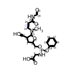 C#CC1CC(COP(NCC(=O)O)Oc2ccccc2)OC1N(C)/C=C\C(=O)NC=O